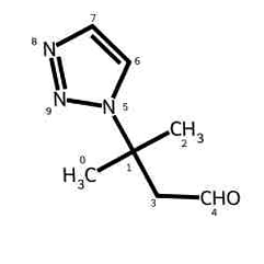 CC(C)(CC=O)n1ccnn1